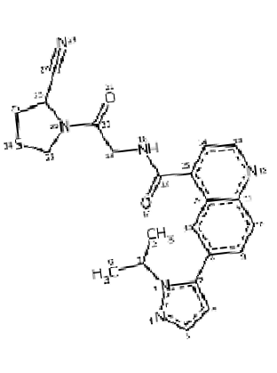 CC(C)n1nccc1-c1ccc2nccc(C(=O)NCC(=O)N3CSCC3C#N)c2c1